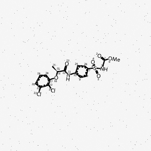 COC(=O)NS(=O)(=O)c1ccc(NC(=O)[C@H](C)Oc2cccc(Cl)c2Cl)cc1